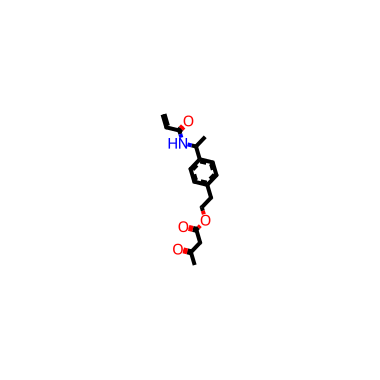 C=CC(=O)NC(C)c1ccc(CCOC(=O)CC(C)=O)cc1